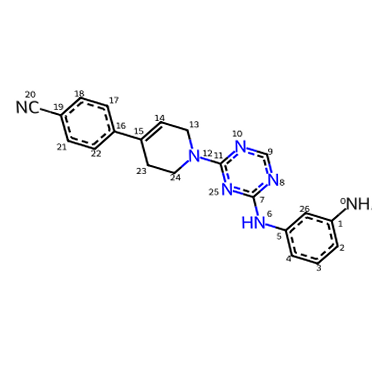 CC(=O)Nc1cccc(Nc2ncnc(N3CC=C(c4ccc(C#N)cc4)CC3)n2)c1